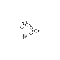 Cc1cc(Sc2ccc([S+](c3ccc(F)cc3)c3ccc(F)cc3)cc2)ccc1C(=O)c1ccccc1.[F][Sb-]([F])([F])([F])([F])[F]